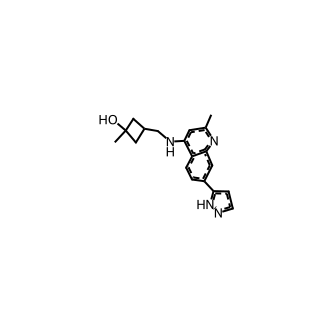 Cc1cc(NCC2CC(C)(O)C2)c2ccc(-c3ccn[nH]3)cc2n1